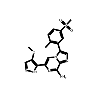 COc1cn[nH]c1-c1cn2c(-c3cc(S(C)(=O)=O)ccc3C)cnc2c(N)n1